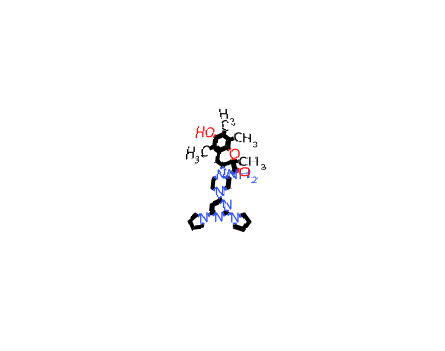 Cc1c(C)c2c(c(C)c1O)CC(N1CCN(c3cc(N4CCCC4)nc(N4CCCC4)n3)CC1)C(C)(C(N)=O)O2